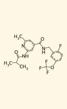 Cc1cc(C(=O)NCc2cc(OC(F)(F)F)ccc2F)cc(NC(=O)C(C)C)n1